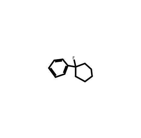 FC1(c2[c]cccc2)CCCCC1